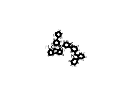 CC1(C)c2ccccc2-c2cccc(N(c3cccc(-c4ccccc4)c3)c3ccc4sc5ccc(-c6nc7ccccc7c7ccccc67)cc5c4c3)c21